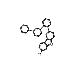 Clc1ccc2c(c1)oc1ccc(-c3ccccc3-c3cccc(-c4ccccc4)c3)cc12